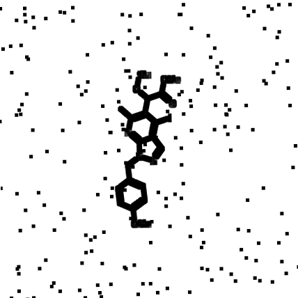 COC(=O)C(OC(C)(C)C)c1c(C)nc2c(cnn2Cc2ccc(OC)cc2)c1I